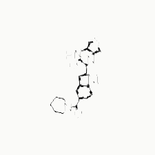 O=C(c1ccc2[nH]c(-c3nc4cscc4[nH]c3=O)cc2c1)N1CCCCC1